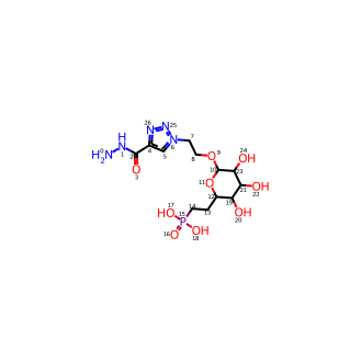 NNC(=O)c1cn(CCOC2OC(CCP(=O)(O)O)C(O)C(O)C2O)nn1